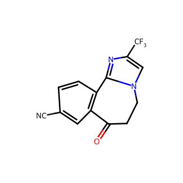 N#Cc1ccc2c(c1)C(=O)CCn1cc(C(F)(F)F)nc1-2